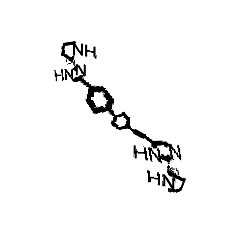 C(#Cc1cnc([C@@H]2CCCN2)[nH]1)c1ccc(-c2ccc(-c3c[nH]c([C@@H]4CCCN4)n3)cc2)cc1